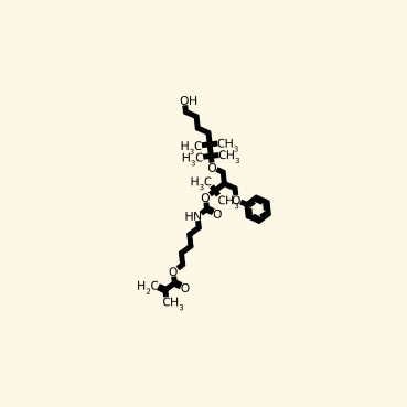 C=C(C)C(=O)OCCCCCNC(=O)OC(C)(C)C(COc1ccccc1)COC(C)(C)C(C)(C)CCCCO